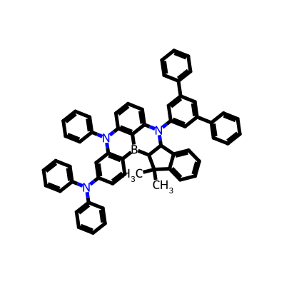 CC1(C)c2ccccc2C2C1B1c3ccc(N(c4ccccc4)c4ccccc4)cc3N(c3ccccc3)c3cccc(c31)N2c1cc(-c2ccccc2)cc(-c2ccccc2)c1